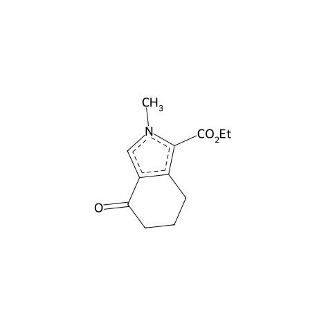 CCOC(=O)c1c2c(cn1C)C(=O)CCC2